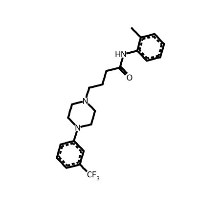 Cc1ccccc1NC(=O)CCCN1CCN(c2cccc(C(F)(F)F)c2)CC1